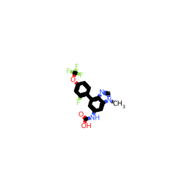 Cn1cnc2c(-c3ccc(OC(F)(F)F)cc3F)cc(NC(=O)O)cc21